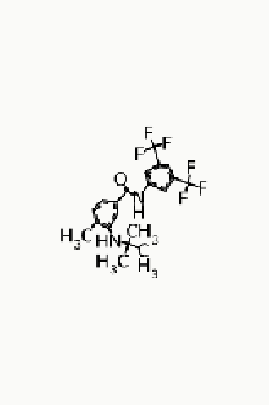 Cc1ccc(C(=O)Nc2cc(C(F)(F)F)cc(C(F)(F)F)c2)cc1NC(C)(C)C